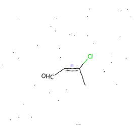 C/C(Cl)=C\C=O